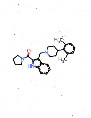 Cc1cccc(C)c1C1CCN(Cc2c(C(=O)N3CCCC3)[nH]c3ccccc23)CC1